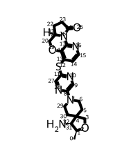 C[C@@H]1OCC2(CCN(c3cnc(Sc4ccnc5c4OC[C@@H]4CCC(=O)N54)cn3)CC2)[C@@H]1N